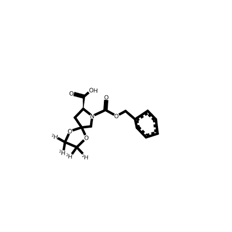 [2H]C1([2H])OC2(C[C@@H](C(=O)O)N(C(=O)OCc3ccccc3)C2)OC1([2H])[2H]